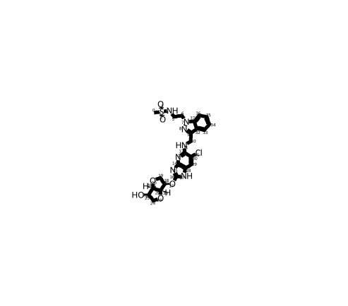 CS(=O)(=O)NCCn1nc(CNc2nc3nc(O[C@@H]4CO[C@H]5[C@@H]4OC[C@H]5O)[nH]c3cc2Cl)c2ccccc21